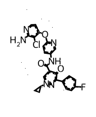 Nc1nccc(Oc2ccc(NC(=O)c3cn(C4CC4)nc(-c4ccc(F)cc4)c3=O)cn2)c1Cl